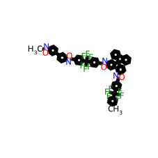 Cc1ccc(C(c2ccc(-c3nc4cc(C5(c6ccc7oc(-c8ccc(C(c9ccc(-c%10nc%11ccc(-c%12ccc%13nc(C)oc%13c%12)cc%11o%10)cc9)(C(F)(F)F)C(F)(F)F)cc8)nc7c6)c6ccccc6-c6ccccc65)ccc4o3)cc2)(C(F)(F)F)C(F)(F)F)cc1